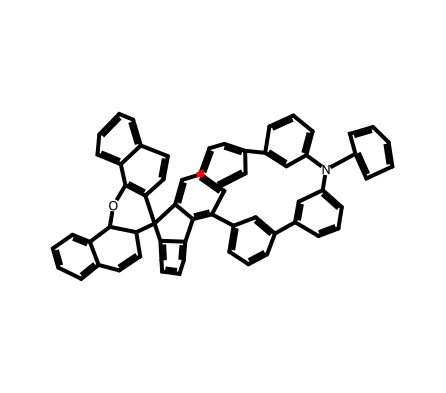 C1=CC2C(Oc3c(ccc4ccccc34)C23c2ccccc2-c2c(-c4cccc(-c5cccc(N(c6ccccc6)c6cccc(-c7ccccc7)c6)c5)c4)cccc23)c2ccccc21